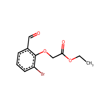 CCOC(=O)COc1c(Br)cccc1C=O